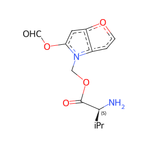 CC(C)[C@H](N)C(=O)OCn1c(OC=O)cc2occc21